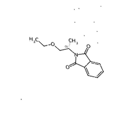 CCOC[C@H](C)N1C(=O)c2ccccc2C1=O